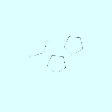 C1CCOC1.C1CCOC1.CC(C)[N-]C(C)C.[Li+]